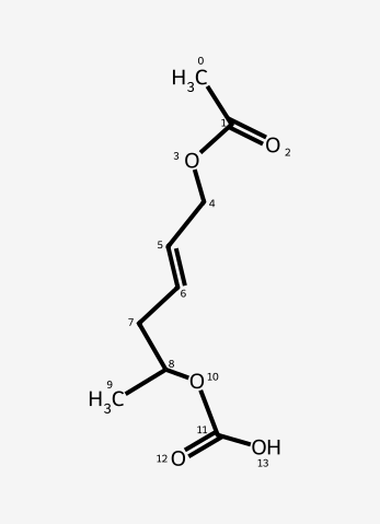 CC(=O)OCC=CCC(C)OC(=O)O